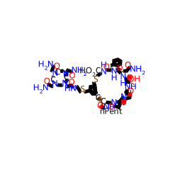 CCCCCC(=O)N[C@H]1CSCc2cc(CSCCNC(=O)CN3CCN(CC(N)=O)CCN(CC(N)=O)CCN(CC(N)=O)CC3)cc(c2)CSCC(C(=O)O)NC(=O)[C@H](Cc2ccccc2)NC(=O)[C@H](CCC(N)=O)NC(=O)[C@H]([C@@H](C)O)NC(=O)[C@@H]2CCCN2C(=O)[C@@H]2CCCN2C1=O